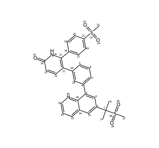 CC(C)(c1cc(-c2cccc(-c3ccc(=O)[nH]c3-c3ccc(S(C)(=O)=O)cc3)c2)c2ncccc2c1)S(C)(=O)=O